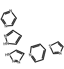 c1c[nH]nn1.c1ccncc1.c1cn[nH]c1.c1cnccn1.c1cscn1